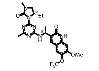 CC[C@H]1CN(C)C(=O)N1c1nc(C)nc(N[C@@H](C)c2cc3cc(OC(F)(F)F)c(OC)cc3[nH]c2=O)n1